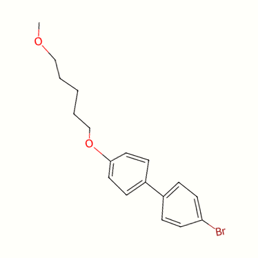 COCCCCCOc1ccc(-c2ccc(Br)cc2)cc1